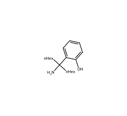 CCCCCCC(N)(CCCCCC)c1ccccc1O